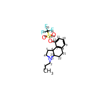 CCCN1CCC2c3c(cccc3OS(=O)(=O)C(F)(F)F)CCC21